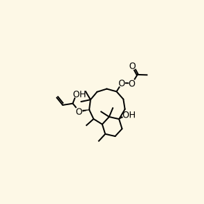 C=CC(O)O[C@@H]1C(C)C2C(C)CC[C@@](O)(CCC(OOC(C)=O)CCC1(C)C)C2(C)C